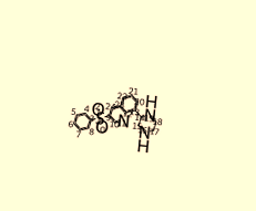 O=S(=O)(c1ccccc1)c1cnc2c(C3CNCCN3)cccc2c1